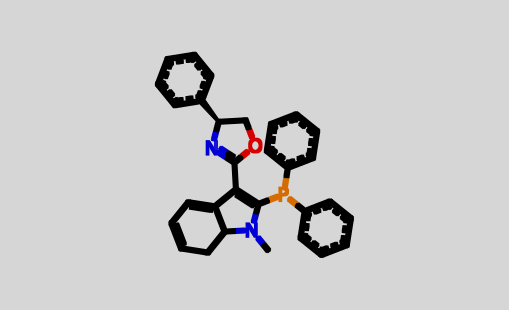 CN1C(P(c2ccccc2)c2ccccc2)=C(C2=N[C@@H](c3ccccc3)CO2)C2=CC=CCC21